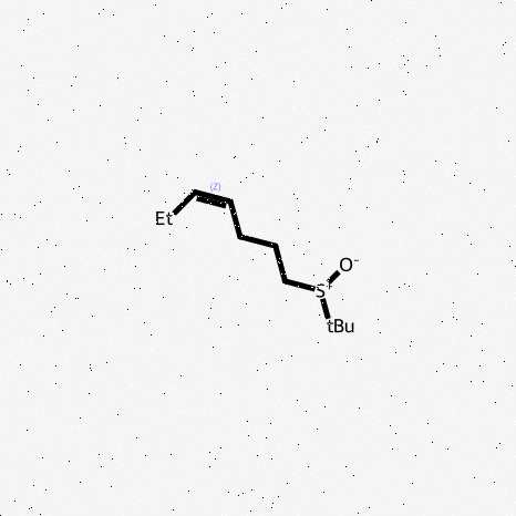 CC/C=C\CCC[S+]([O-])C(C)(C)C